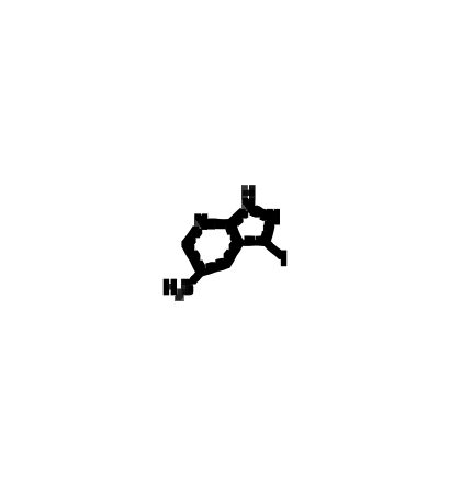 Bc1cnc2[nH]nc(I)c2c1